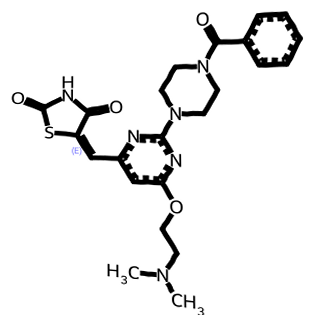 CN(C)CCOc1cc(/C=C2/SC(=O)NC2=O)nc(N2CCN(C(=O)c3ccccc3)CC2)n1